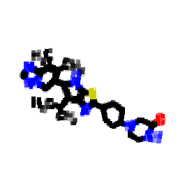 Cc1c(-c2[nH]c3sc(C4CCC(N5CCNC(=O)C5)CC4)nc3c2C(C)C)cn2ncnc2c1C